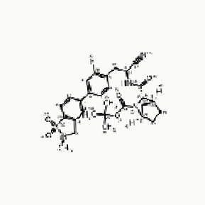 CN1Cc2cc(-c3ccc(C[C@@H](C#N)NC(=O)[C@@H]4[C@H]5CC[C@H](C5)N4C(=O)OC(C)(C)C)c(F)c3)ccc2S1(=O)=O